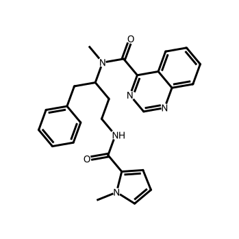 CN(C(=O)c1ncnc2ccccc12)C(CCNC(=O)c1cccn1C)Cc1ccccc1